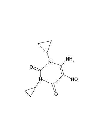 Nc1c(N=O)c(=O)n(C2CC2)c(=O)n1C1CC1